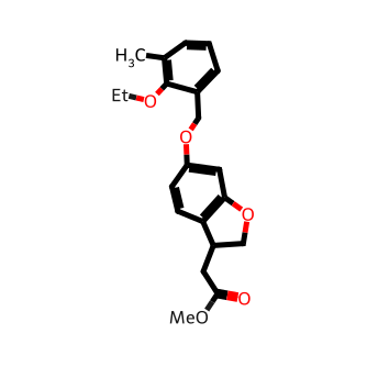 CCOc1c(C)cccc1COc1ccc2c(c1)OCC2CC(=O)OC